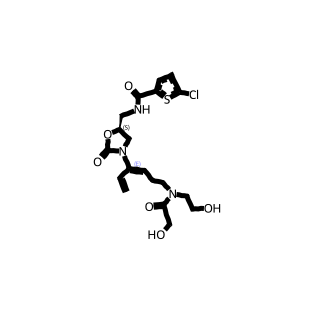 C=C/C(=C\CCN(CCO)C(=O)CO)N1C[C@H](CNC(=O)c2ccc(Cl)s2)OC1=O